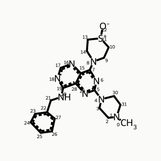 CN1CCN(c2nc(N3CC[S+]([O-])CC3)c3ncnc(NCc4ccccc4)c3n2)CC1